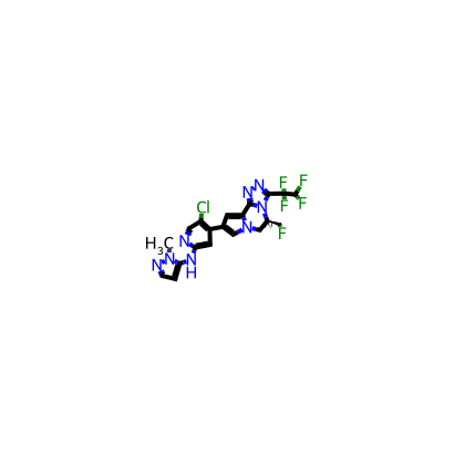 Cn1nccc1Nc1cc(-c2cc3n(c2)C[C@H](CF)n2c-3nnc2C(F)(F)C(F)F)c(Cl)cn1